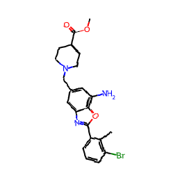 COC(=O)C1CCN(Cc2cc(N)c3oc(-c4cccc(Br)c4C)nc3c2)CC1